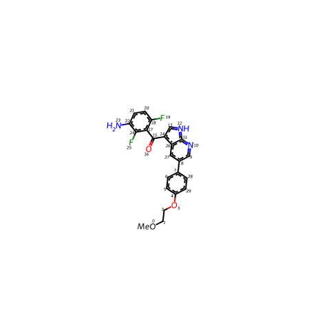 COCCOc1ccc(-c2cnc3[nH]cc(C(=O)c4c(F)ccc(N)c4F)c3c2)cc1